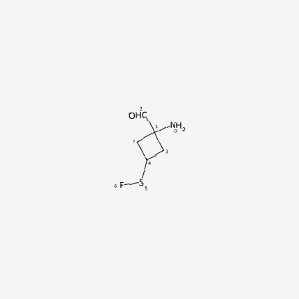 NC1(C=O)CC(SF)C1